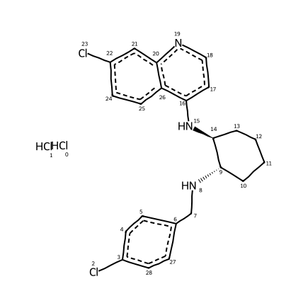 Cl.Cl.Clc1ccc(CN[C@H]2CCCC[C@@H]2Nc2ccnc3cc(Cl)ccc23)cc1